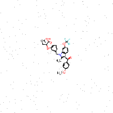 CC[C@H](Oc1cccc(Cn2c(C)c(C(=O)c3ccc(OC)cc3)c3ccc(OC(F)(F)F)cc32)c1)C(=O)O